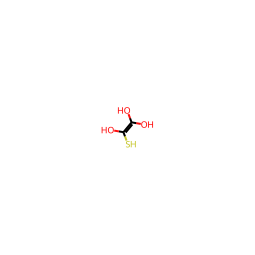 OC(O)=C(O)S